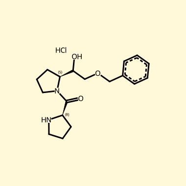 Cl.O=C([C@H]1CCCN1)N1CCC[C@H]1C(O)COCc1ccccc1